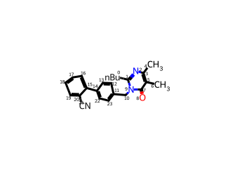 CCCCc1nc(C)c(C)c(=O)n1Cc1ccc(-c2ccccc2C#N)cc1